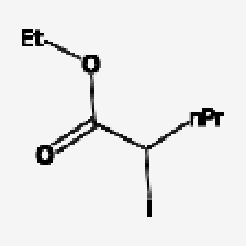 CCCC(I)C(=O)OCC